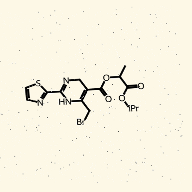 CC(C)OC(=O)C(C)OC(=O)C1=C(CBr)NC(c2nccs2)=NC1